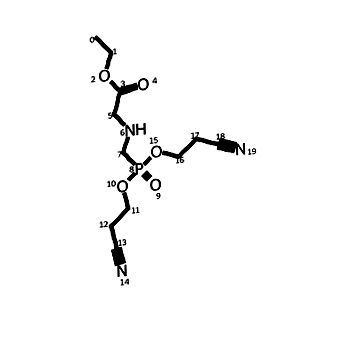 CCOC(=O)CNCP(=O)(OCCC#N)OCCC#N